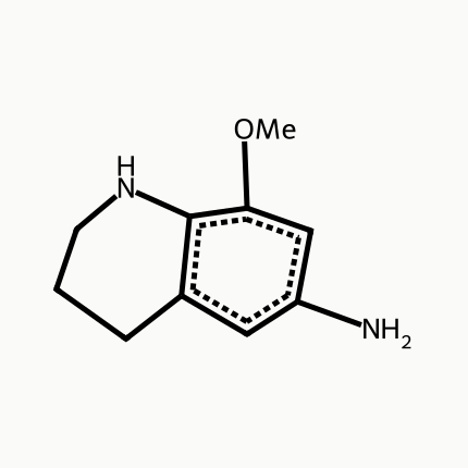 COc1cc(N)cc2c1NCCC2